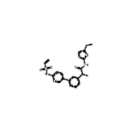 C=CS(=O)(=O)Nc1ccc(-c2cccc(C(C)C(=O)Nc3ncc(CC)s3)c2)cn1